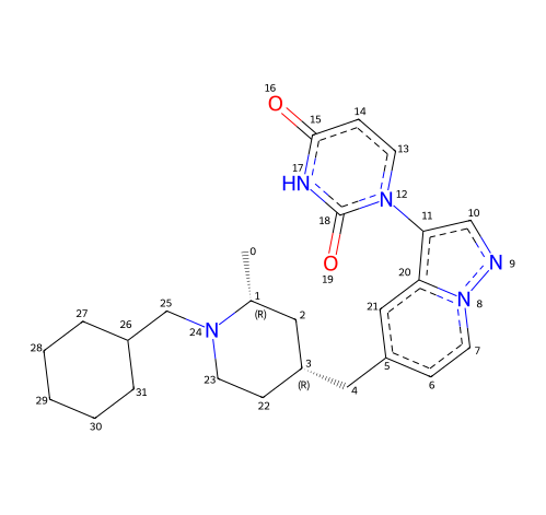 C[C@@H]1C[C@H](Cc2ccn3ncc(-n4ccc(=O)[nH]c4=O)c3c2)CCN1CC1CCCCC1